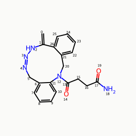 C=C1N/N=N\Cc2ccccc2N(C(=O)CCC(N)=O)Cc2ccccc21